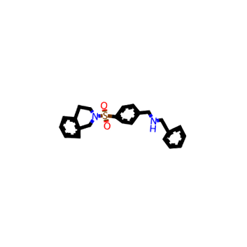 O=S(=O)(c1ccc(CNCc2ccccc2)cc1)N1CCc2ccccc2C1